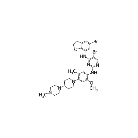 COc1cc(N2CCC(N3CCN(C)CC3)CC2)c(C)cc1Nc1ncc(Br)c(Nc2cc(Br)cc3c2OCC3)n1